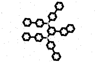 c1ccc(-c2ccc(N(c3ccc(-c4ccccc4)cc3)c3cc(-c4ccc5ccccc5c4)cc(N(c4ccc(-c5ccccc5)cc4)c4ccc(-c5ccccc5)cc4)c3)cc2)cc1